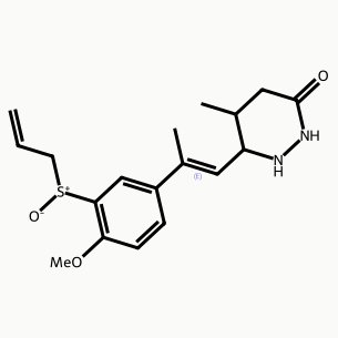 C=CC[S+]([O-])c1cc(/C(C)=C/C2NNC(=O)CC2C)ccc1OC